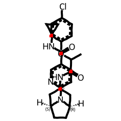 CC(Oc1ccc(Cl)cc1)C(=O)N[C@H]1C[C@H]2CC[C@@H](C1)N2c1ccc(C(=O)NC2CC2)cn1